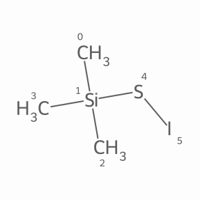 C[Si](C)(C)SI